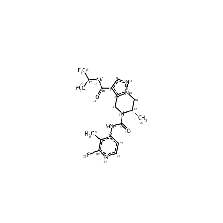 Cc1c(NC(=O)N2Cc3c(C(=O)NC(C)C(F)(F)F)cnn3C[C@@H]2C)ccnc1F